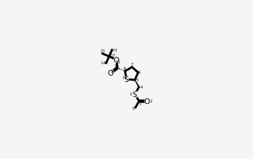 CC(=O)SC[C@@H]1CC[C@@H](C(=O)OC(C)(C)C)S1